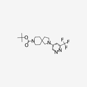 CC(C)(C)OC(=O)N1CCC2(CC1)CCN(c1cnnc(C(F)(F)F)c1)C2